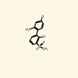 CS(=O)(=O)c1[c]ccc(-c2ccc(Cl)cc2N)c1Cl